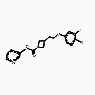 O=C(Nc1cccnc1)N1CC(CCOc2ccc(Cl)c(Cl)c2)C1